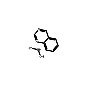 OBO.c1ccc2ncncc2c1